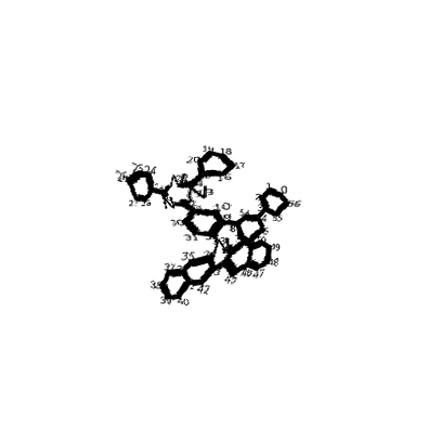 c1ccc(-c2cccc(-c3cc(-c4nc(-c5ccccc5)nc(-c5ccccc5)n4)ccc3-n3c4cc5ccccc5cc4c4cc5ccccc5cc43)c2)cc1